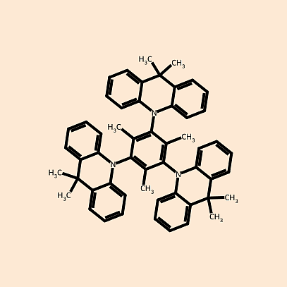 Cc1c(N2c3ccccc3C(C)(C)c3ccccc32)c(C)c(N2c3ccccc3C(C)(C)c3ccccc32)c(C)c1N1c2ccccc2C(C)(C)c2ccccc21